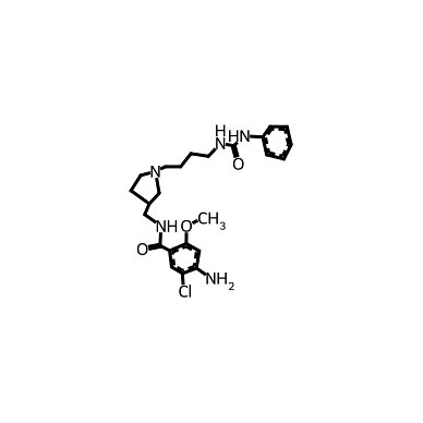 COc1cc(N)c(Cl)cc1C(=O)NCC1CCN(CCCCNC(=O)Nc2ccccc2)C1